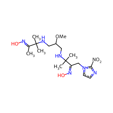 COC(CNC(C)(C)C(C)=NO)CNC(C)(C)C(Cn1ccnc1[N+](=O)[O-])=NO